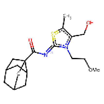 COCCn1c(CO)c(C)s/c1=N\C(=O)C12CC3CC(CC1C3)C2